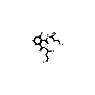 CCC(CCC(C)C)OC(=O)c1cccc(F)c1C(=O)OC(CC)CCC(C)C